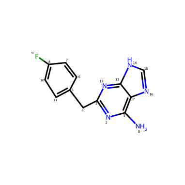 Nc1nc(Cc2ccc(F)cc2)nc2[nH]cnc12